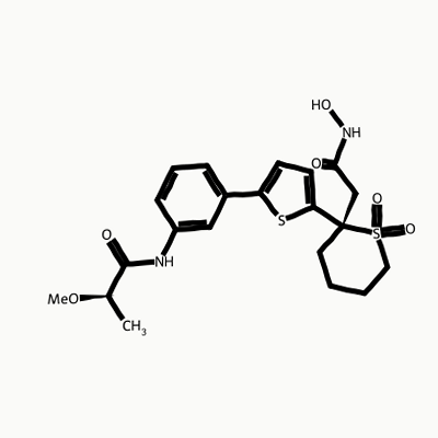 CO[C@H](C)C(=O)Nc1cccc(-c2ccc([C@@]3(CC(=O)NO)CCCCS3(=O)=O)s2)c1